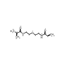 C=CC(=O)NCCOCCOC(=O)C(=C)C